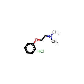 CN(C)CCOc1ccccc1.Cl